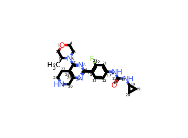 C[C@H]1COCCN1c1nc(-c2ccc(NC(=O)NC3CC3)cc2F)nc2c1CCNC2